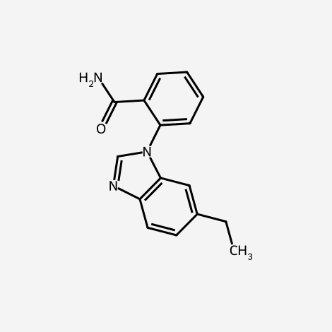 CCc1ccc2ncn(-c3ccccc3C(N)=O)c2c1